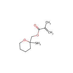 C=C(C)C(=O)OCC1([SiH3])CCCCO1